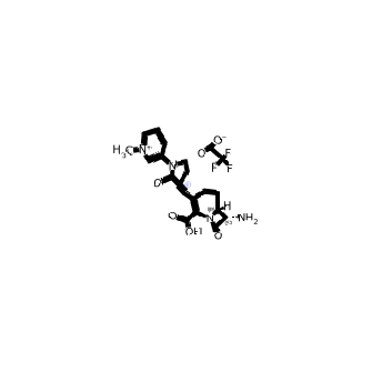 C[n+]1cccc(N2CC/C(=C\C3=C(C(=O)O)N4C(=O)[C@@H](N)[C@H]4CC3)C2=O)c1.O=C([O-])C(F)(F)F